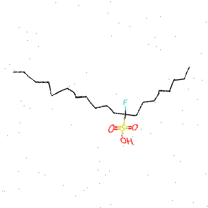 CCCCCCCCCCCC(F)(CCCCCCCC)S(=O)(=O)O